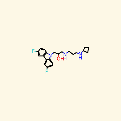 OC(CNCCCNC1CCC1)Cn1c2ccc(F)cc2c2cc(F)ccc21